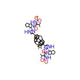 COC(=O)N[C@H](C(=O)N1CC2CCCC2[C@H]1c1nc(-c2ccc(-c3cc4ccc3CCc3ccc(c(-c5ccc(-c6c[nH]c([C@@H]7C8CCCC8CN7C(=O)[C@@H](NC(=O)OC)C(C)C)n6)cc5)c3)C[C@H]4C)cc2)c[nH]1)C(C)C